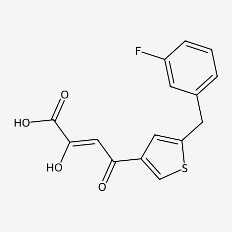 O=C(O)C(O)=CC(=O)c1csc(Cc2cccc(F)c2)c1